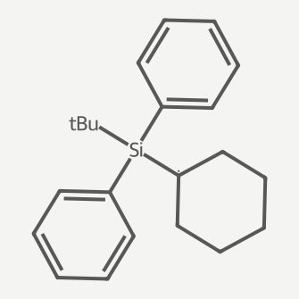 CC(C)(C)[Si]([C]1CCCCC1)(c1ccccc1)c1ccccc1